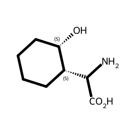 NC(C(=O)O)[C@@H]1CCCC[C@@H]1O